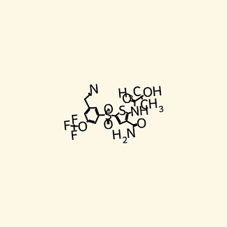 CC(C)(O)C(=O)Nc1sc(S(=O)(=O)c2cc(CC#N)cc(OC(F)(F)F)c2)cc1C(N)=O